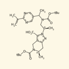 C=C(C)c1ncc(C(C)N(C[C@@H](C)n2nc3c(c2C(=O)O)CN(C(=O)OC(C)(C)C)[C@H](C)C3)C(=O)OC(C)(C)C)cn1